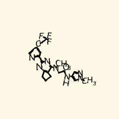 CN(CC(=O)Nc1cnn(C)c1)c1nc(-c2cc(OCC(F)(F)F)ccn2)nc2c1CCC2